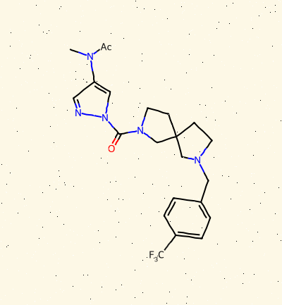 CC(=O)N(C)c1cnn(C(=O)N2CCC3(CCN(Cc4ccc(C(F)(F)F)cc4)C3)C2)c1